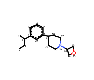 CCC(C)c1cccc(C2CCN(C3COC3)CC2)c1